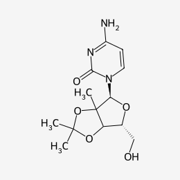 CC1(C)OC2[C@@H](CO)O[C@H](n3ccc(N)nc3=O)C2(C)O1